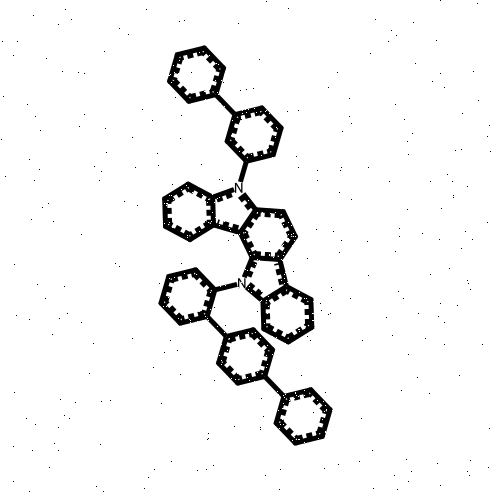 c1ccc(-c2ccc(-c3ccccc3-n3c4ccccc4c4ccc5c(c6ccccc6n5-c5cccc(-c6ccccc6)c5)c43)cc2)cc1